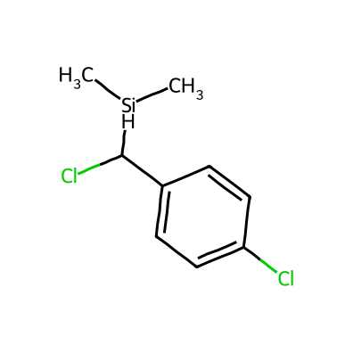 C[SiH](C)C(Cl)c1ccc(Cl)cc1